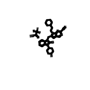 N#Cc1ncc2cc(Cn3c(=O)n(C4CCNCC4)c4ccccc43)n(CCC3CCCCC3)c2n1.O=C(O)C(F)(F)F